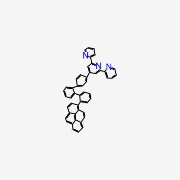 c1ccc(-c2cc(-c3ccc(-c4ccccc4-c4ccccc4-c4ccc5ccc6cccc7ccc4c5c67)cc3)cc(-c3ccccn3)n2)nc1